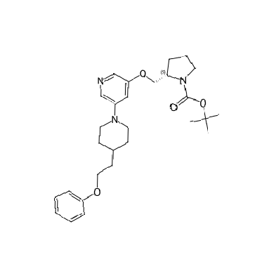 CC(C)(C)OC(=O)N1CCC[C@H]1COc1cncc(N2CCC(CCOc3ccccc3)CC2)c1